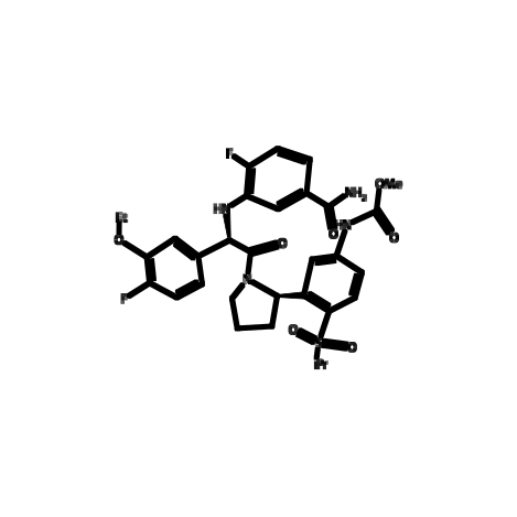 CCOc1cc([C@@H](Nc2cc(C(N)=O)ccc2F)C(=O)N2CCC[C@@H]2c2cc(NC(=O)OC)ccc2S(=O)(=O)C(C)C)ccc1F